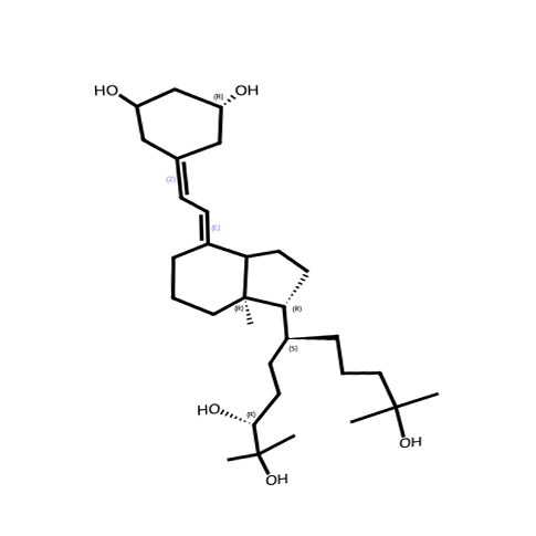 CC(C)(O)CCC[C@@H](CC[C@@H](O)C(C)(C)O)[C@H]1CCC2/C(=C/C=C3/CC(O)C[C@H](O)C3)CCC[C@@]21C